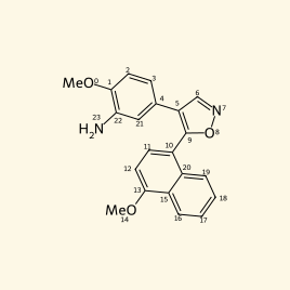 COc1ccc(-c2cnoc2-c2ccc(OC)c3ccccc23)cc1N